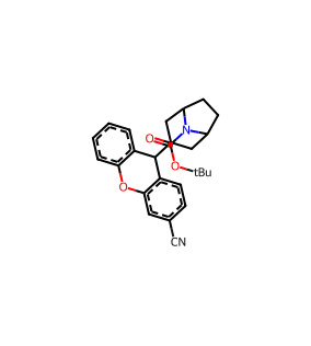 CC(C)(C)OC(=O)N1C2CCC1CC(C1c3ccccc3Oc3cc(C#N)ccc31)C2